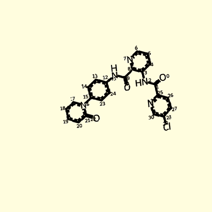 O=C(Nc1cccnc1C(=O)Nc1ccc(-n2ccccc2=O)cc1)c1ccc(Cl)cn1